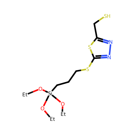 CCO[Si](CCCSc1nnc(CS)s1)(OCC)OCC